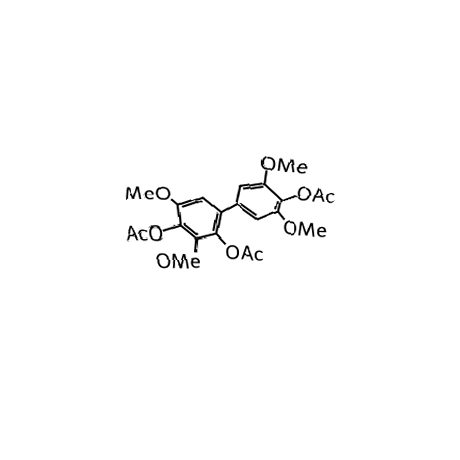 COc1cc(-c2cc(OC)c(OC(C)=O)c(OC)c2OC(C)=O)cc(OC)c1OC(C)=O